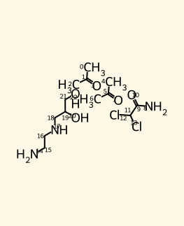 CC(C)=O.CC(C)=O.NC(=O)C(Cl)Cl.NCCNCC(O)CO